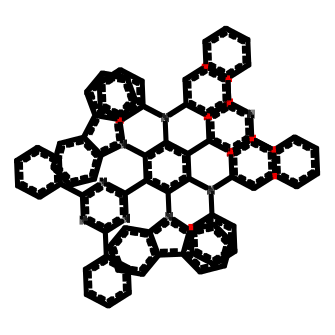 c1ccc(-c2nc(-c3ccccc3)nc(-c3c(N(c4ccccc4)c4ccccc4)c(-n4c5ccccc5c5ccccc54)c(-c4nc(-c5ccccc5)nc(-c5ccccc5)n4)c(-n4c5ccccc5c5ccccc54)c3N(c3ccccc3)c3ccccc3)n2)cc1